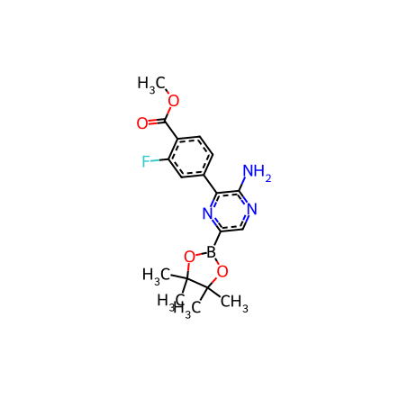 COC(=O)c1ccc(-c2nc(B3OC(C)(C)C(C)(C)O3)cnc2N)cc1F